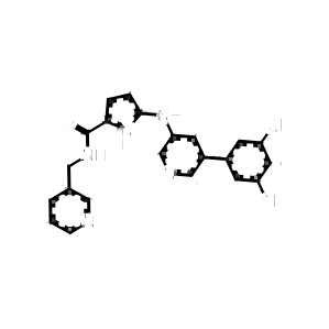 O=C(NCc1cccnc1)c1ccc(Nc2cncc(-c3cc(Cl)cc(Cl)c3)c2)[nH]1